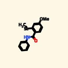 COc1ccc(C(=O)Nc2ccccc2)c([Se]C)c1